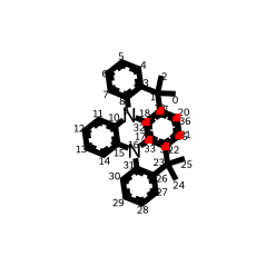 CC1(C)c2ccccc2N(c2ccccc2N2c3ccccc3C(C)(C)c3ccccc32)c2ccccc21